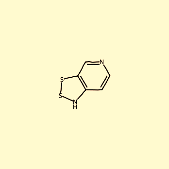 c1cc2c(cn1)SSN2